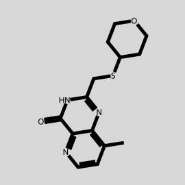 Cc1ccnc2c(=O)[nH]c(CSC3CCOCC3)nc12